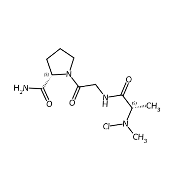 C[C@@H](C(=O)NCC(=O)N1CCC[C@H]1C(N)=O)N(C)Cl